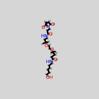 CC(C)(CCNC(=O)CCN1C(=O)C=CC1=O)OCCOC(C)(C)CCC(=O)NCCCCCCO